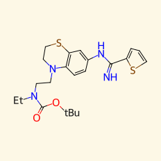 CCN(CCN1CCSc2cc(NC(=N)c3cccs3)ccc21)C(=O)OC(C)(C)C